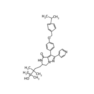 CC(C)c1ccc(COc2ccc(-c3c(-c4ccncc4)nn4c3C(=O)NC(CCC(C)(C)[Si](C)(C)O)C4)cc2)cc1